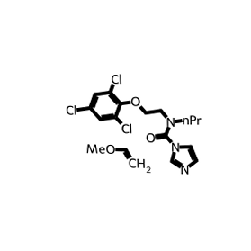 C=COC.CCCN(CCOc1c(Cl)cc(Cl)cc1Cl)C(=O)n1ccnc1